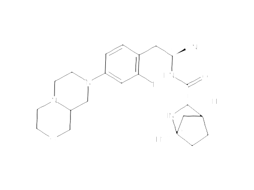 N#C[C@H](Cc1ccc(N2CCN3CCOCC3C2)cc1F)NC(=O)[C@H]1N[C@@H]2CC[C@H]1C2